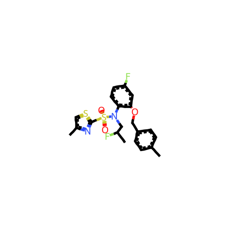 Cc1ccc(COc2cc(F)ccc2N(CC(C)F)S(=O)(=O)c2nc(C)cs2)cc1